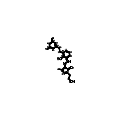 CC1=NN(CCO)C(=O)C1=NNc1cccc(CCc2cc(C)cc(C)c2)c1O